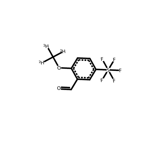 [2H]C([2H])([2H])Oc1ccc(S(F)(F)(F)(F)F)cc1C=O